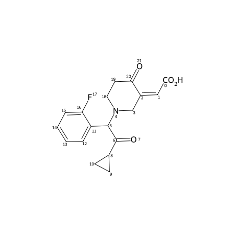 O=C(O)/C=C1/CN(C(C(=O)C2CC2)c2ccccc2F)CCC1=O